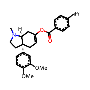 COc1ccc([C@@]23CC=C(OC(=O)c4ccc(C(C)C)cc4)C[C@@H]2N(C)CC3)cc1OC